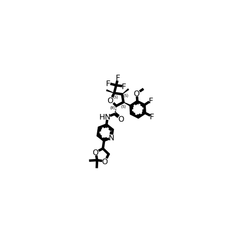 COc1c([C@H]2[C@H](C(=O)Nc3ccc(C4COC(C)(C)O4)nc3)O[C@](C)(C(F)(F)F)[C@H]2C)ccc(F)c1F